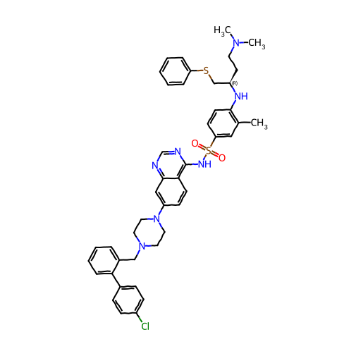 Cc1cc(S(=O)(=O)Nc2ncnc3cc(N4CCN(Cc5ccccc5-c5ccc(Cl)cc5)CC4)ccc23)ccc1N[C@H](CCN(C)C)CSc1ccccc1